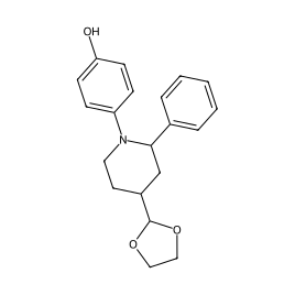 Oc1ccc(N2CCC(C3OCCO3)CC2c2ccccc2)cc1